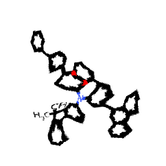 CC1(C)c2ccccc2-c2ccc(N(c3ccc(-c4ccc(-c5ccccc5)cc4)cc3)c3cc(-c4cc5ccccc5c5ccccc45)ccc3-c3ccccc3)cc21